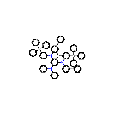 c1ccc(-c2cccc(N3c4cc([Si](c5ccccc5)(c5ccccc5)c5ccccc5)ccc4B4c5cc(-c6ccccc6)ccc5N(c5cccc([Si](c6ccccc6)(c6ccccc6)c6ccccc6)c5)c5cc(N(c6ccccc6)c6ccccc6)cc3c54)c2)cc1